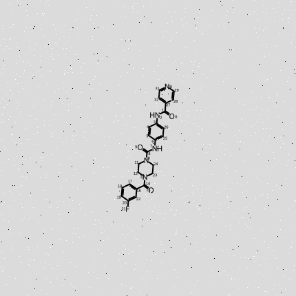 O=C(Nc1ccc(NC(=O)N2CCN(C(=O)c3cccc(F)c3)CC2)cc1)c1ccncc1